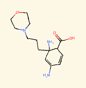 NC1=CC(N)(CCCN2CCOCC2)C(C(=O)O)C=C1